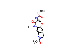 CN1C(=O)[C@@H](NC(=O)OC(C)(C)C)COc2cc3c(cc21)CN(C(=O)C(F)(F)F)CC3